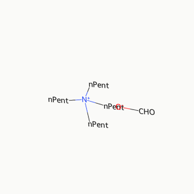 CCCCC[N+](CCCCC)(CCCCC)CCCCC.O=C[O-]